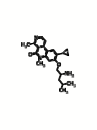 Cc1nccc2c1c(=O)n(C)c1cc(OCC(N)CC(C)C)c(C3CC3)cc21